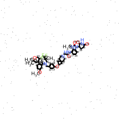 COc1ccc([C@]2(CCN(Cc3ccc(OC4CC5(CCN(CC(=O)Nc6cccc7c6n(C)c(=O)n7C6CCC(=O)NC6=O)CC5)C4)cc3)CC(C)(C)C(F)(F)F)CCOC(C)(C)C2)cc1